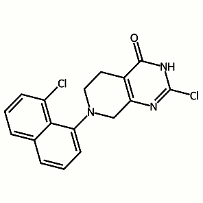 O=c1[nH]c(Cl)nc2c1CCN(c1cccc3cccc(Cl)c13)C2